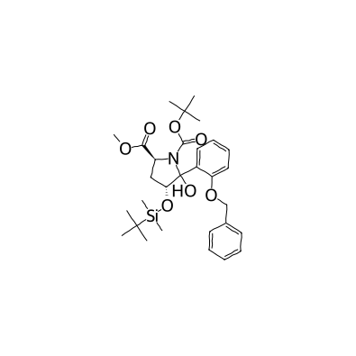 COC(=O)[C@@H]1C[C@@H](O[Si](C)(C)C(C)(C)C)C(O)(c2ccccc2OCc2ccccc2)N1C(=O)OC(C)(C)C